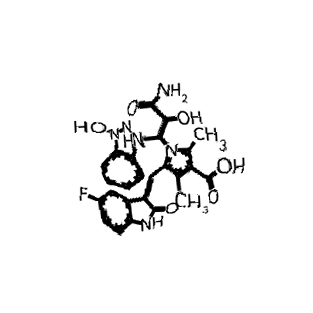 Cc1c(C(=O)O)c(C)n(C(C(O)C(N)=O)N2NN(O)c3ccccc32)c1C=C1C(=O)Nc2ccc(F)cc21